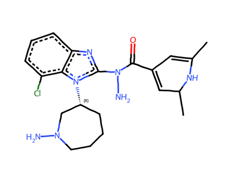 CC1=CC(C(=O)N(N)c2nc3cccc(Cl)c3n2[C@@H]2CCCCN(N)C2)=CC(C)N1